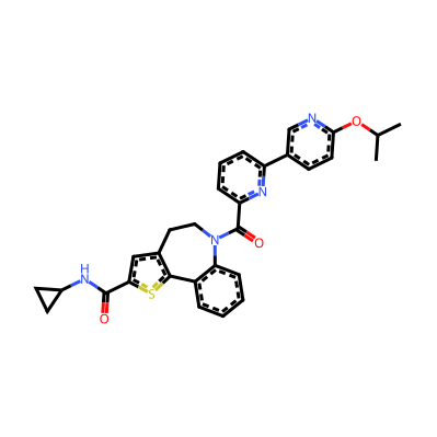 CC(C)Oc1ccc(-c2cccc(C(=O)N3CCc4cc(C(=O)NC5CC5)sc4-c4ccccc43)n2)cn1